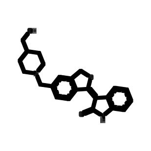 O=C1Nc2ccccc2C1=C1OCc2cc(CN3CCC(CO)CC3)ccc21